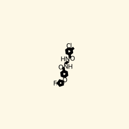 Cc1cc(C(=O)NCCNC(=O)c2ccc(O[C@@H]3CC[C@@H](F)C3)cc2)ccc1Cl